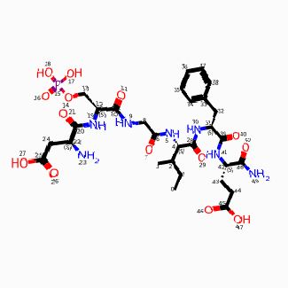 CCC(C)[C@H](NC(=O)CNC(=O)[C@H](COP(=O)(O)O)NC(=O)[C@@H](N)CC(=O)O)C(=O)N[C@@H](Cc1ccccc1)C(=O)N[C@@H](CCC(=O)O)C(N)=O